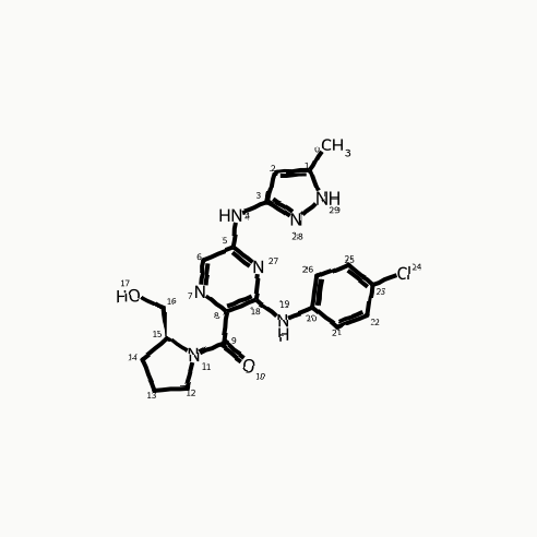 Cc1cc(Nc2cnc(C(=O)N3CCC[C@H]3CO)c(Nc3ccc(Cl)cc3)n2)n[nH]1